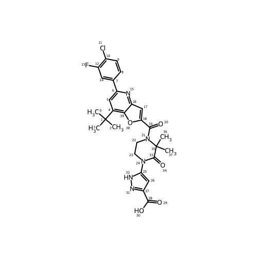 CC(C)(C)c1cc(-c2ccc(Cl)c(F)c2)nc2cc(C(=O)N3CCN(c4cc(C(=O)O)n[nH]4)C(=O)C3(C)C)oc12